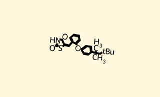 CC(C)(C)CC(C)(C)c1ccc(Oc2ccccc2/C=C2/SC(=O)NC2=O)cc1